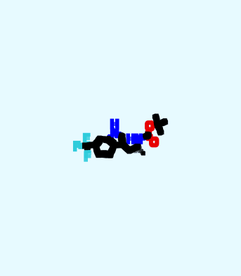 C[C@H](Cc1c[nH]c2cc(C(F)(F)F)ccc12)NC(=O)OC(C)(C)C